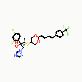 C[C@@H](SC1COC(C=CC=Cc2ccc(C(F)(F)F)cc2)OC1)[C@](O)(Cn1cncn1)c1ccc(F)cc1F